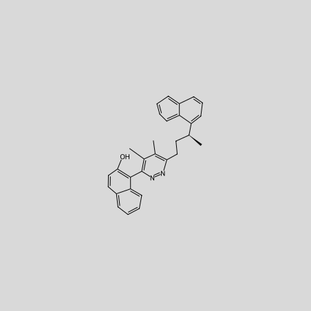 Cc1c(CC[C@H](C)c2cccc3ccccc23)nnc(-c2c(O)ccc3ccccc23)c1C